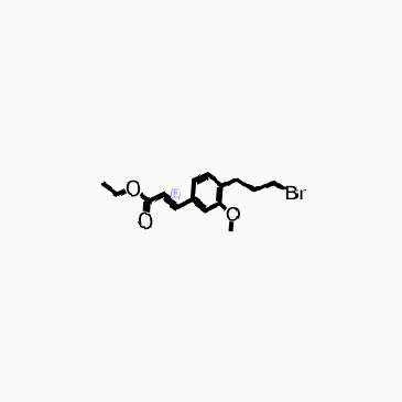 CCOC(=O)/C=C/c1ccc(CCCBr)c(OC)c1